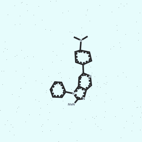 CNc1nc2cnc(-c3ccc(N(C)C)cc3)cc2n1-c1ccccc1